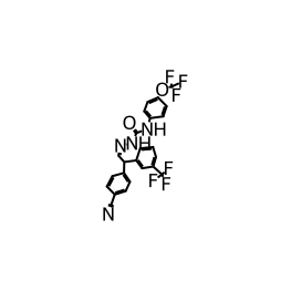 N#Cc1ccc(C(/C=N\NC(=O)Nc2ccc(OC(F)(F)F)cc2)c2cccc(C(F)(F)F)c2)cc1